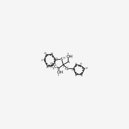 CC(O)C(CO)(Sc1ccccc1)Sc1ccccc1